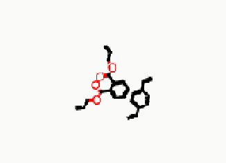 C=CCOC(=O)c1ccccc1C(=O)OCC=C.C=Cc1ccc(C=C)cc1